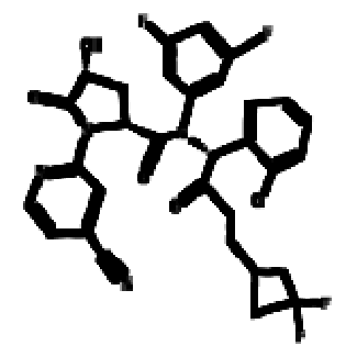 N#Cc1ccnc(N2C(=O)[C@H](O)C[C@H]2C(=O)N(c2cc(F)cc(F)c2)[C@@H](C(=O)CCC2CC(F)(F)C2)c2ccccc2Cl)c1